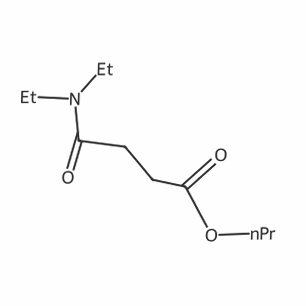 CCCOC(=O)CCC(=O)N(CC)CC